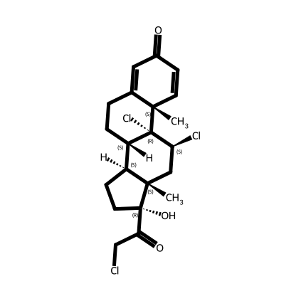 C[C@]12C=CC(=O)C=C1CC[C@H]1[C@@H]3CC[C@](O)(C(=O)CCl)[C@@]3(C)C[C@H](Cl)[C@@]12Cl